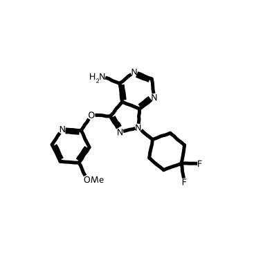 COc1ccnc(Oc2nn(C3CCC(F)(F)CC3)c3ncnc(N)c23)c1